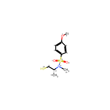 CCOc1ccc(S(=O)(=O)N(C)[C@H](C)CS)cc1